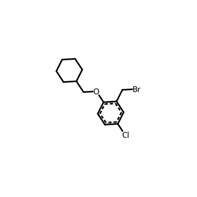 Clc1ccc(OCC2CCCCC2)c(CBr)c1